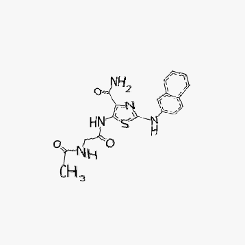 CC(=O)NCC(=O)Nc1sc(Nc2ccc3ccccc3c2)nc1C(N)=O